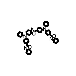 c1ccc(N(c2ccc(-c3nc4ccccc4o3)cc2)c2ccc(-c3nc4ccc(N(c5ccccc5)c5ccc(-c6nc7ccccc7o6)cc5)cc4o3)cc2)cc1